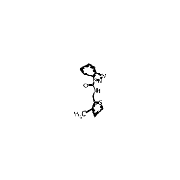 Cc1ccsc1CNC(=O)n1nnc2ccccc21